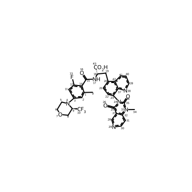 Cc1cc(N2CCOC[C@@H]2C(F)(F)F)cc(F)c1C(=O)N[C@@H](Cc1ccc(-n2c(=O)c3cnccc3n(C)c2=O)c2ncccc12)C(=O)O